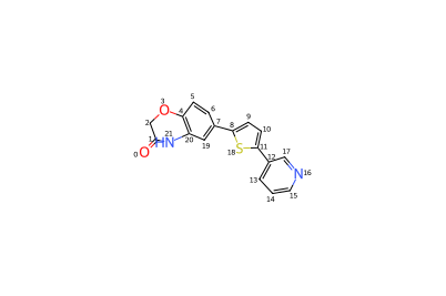 O=C1COc2ccc(-c3ccc(-c4cccnc4)s3)cc2N1